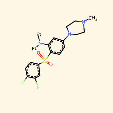 CCN(CC)c1cc(N2CCN(C)CC2)ccc1S(=O)(=O)c1ccc(F)c(F)c1